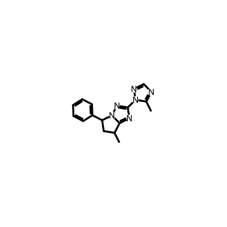 Cc1ncnn1-c1nc2n(n1)C(c1ccccc1)CC2C